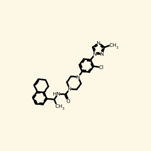 Cc1ncn(-c2ccc(N3CCN(C(=O)NC(C)c4cccc5c4CCC=C5)CC3)cc2Cl)n1